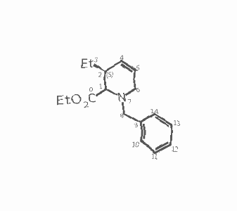 CCOC(=O)C1[C@@H](CC)C=CCN1Cc1ccccc1